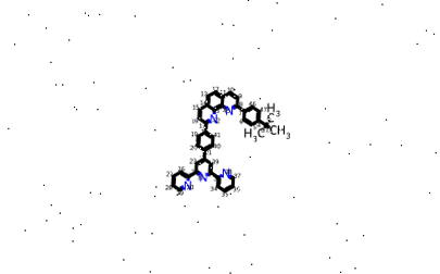 CC(C)(C)c1ccc(-c2ccc3ccc4ccc(-c5ccc(-c6cc(-c7ccccn7)nc(-c7ccccn7)c6)cc5)nc4c3n2)cc1